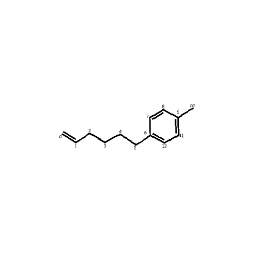 C=CCCCCc1ccc(C)cc1